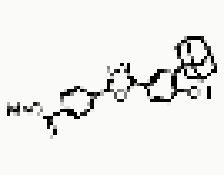 COC(=O)c1ccc(-c2nnc(-c3ccc(O)c(C45CC6CC(CC(C6)C4)C5)c3)o2)cc1